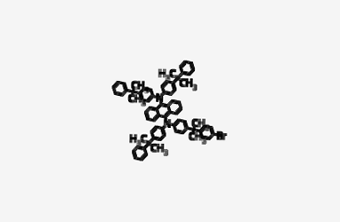 CC(C)(c1ccccc1)c1ccc(N(c2ccc(C(C)(C)c3ccccc3)cc2)c2c3ccccc3c(N(c3ccc(C(C)(C)c4ccccc4)cc3)c3ccc(C(C)(C)c4ccc(Br)cc4)cc3)c3ccccc23)cc1